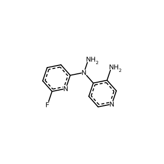 Nc1cnccc1N(N)c1cccc(F)n1